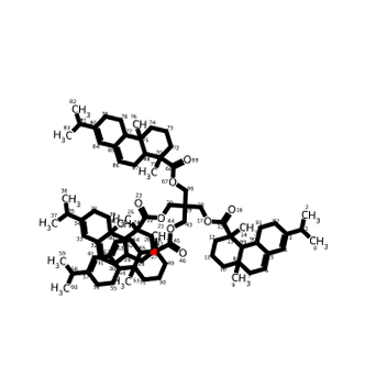 CC(C)C1=CC2=CCC3(C)CCCC(C)(C(=O)OCC(COC(=O)C4(C)CCCC5CC=C6C=C(C(C)C)CCC6(C)C54)(COC(=O)C4(C)CCCC5(C)C6CCC(C(C)C)=CC6=CCC45)COC(=O)C4(C)CCCC5(C)C6CCC(C(C)C)=CC6=CCC45)C3C2CC1